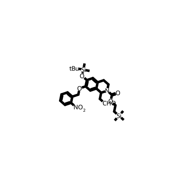 CC(C)(C)[Si](C)(C)Oc1cc2c(cc1OCc1ccccc1[N+](=O)[O-])C(CC=O)N(C(=O)OCC[Si](C)(C)C)CC2